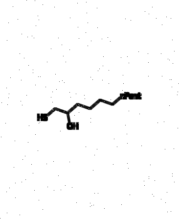 CCCCCCCCCC(O)CS